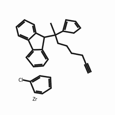 C#CCCCCC(C)(C1=CC=CC1)C1c2ccccc2-c2ccccc21.Clc1ccccc1.[Zr]